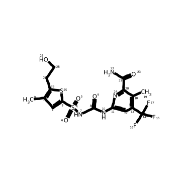 Cc1cc(S(=O)(=O)NC(=O)Nc2cc(C(F)(F)F)c(C)c(C(N)=O)n2)sc1CCO